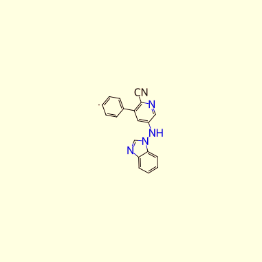 N#Cc1ncc(Nn2cnc3ccccc32)cc1-c1cc[c]cc1